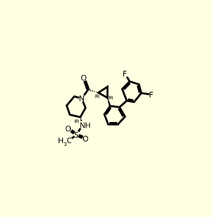 CS(=O)(=O)N[C@@H]1CCCN(C(=O)[C@@H]2C[C@H]2c2ccccc2-c2cc(F)cc(F)c2)C1